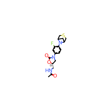 CC(=O)NC[C@H]1CN(c2ccc(N3C4CSCC3C4)c(F)c2)C(=O)O1